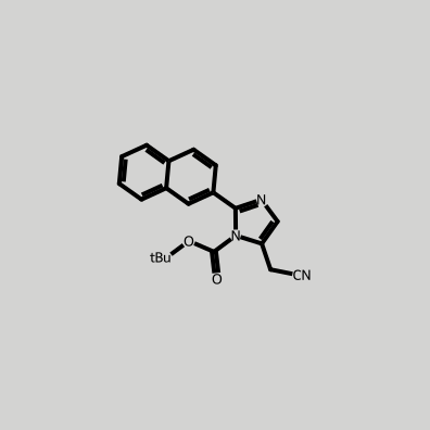 CC(C)(C)OC(=O)n1c(CC#N)cnc1-c1ccc2ccccc2c1